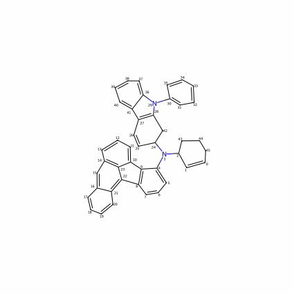 C1=CC(N(c2cccc3c2-c2cccc4cc5ccccc5c-3c24)C2C=Cc3c(n(-c4ccccc4)c4ccccc34)C2)CCC1